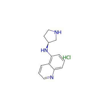 Cl.c1cc(N[C@H]2CCNC2)c2cccnc2c1